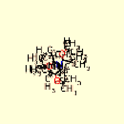 C[SiH](C)OC(CN(C(O[SiH](C)C)C(C)(C)C)C(O[SiH](C)C)C(C)(C)C)C(C)(C)C